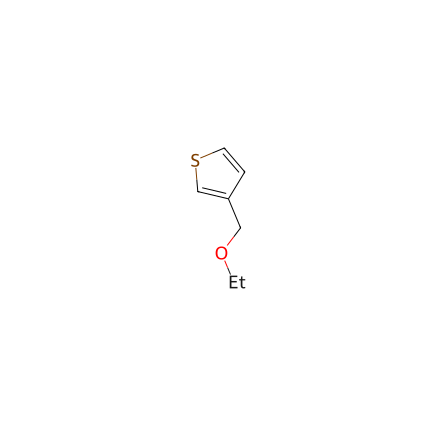 [CH2]COCc1ccsc1